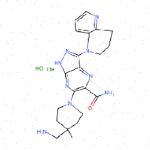 CC1(CN)CCN(c2nc3[nH]nc(N4CCCc5ncccc54)c3nc2C(N)=O)CC1.Cl.Cl